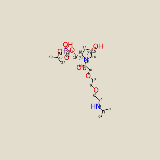 CC(C)NCCOCCOCC(=O)N1C[C@H](O)C[C@H]1COP(=O)(O)OC(C)C